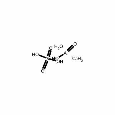 O.O=S(=O)(O)O.[CaH2].[O]=[Al][OH]